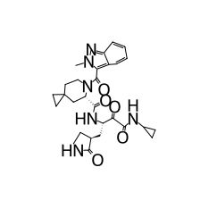 Cn1nc2ccccc2c1C(=O)N1CCC2(CC2)C[C@H]1C(=O)N[C@@H](C[C@@H]1CCNC1=O)C(=O)C(=O)NC1CC1